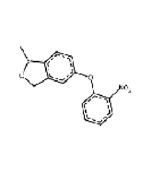 CB1OCc2cc(Oc3ccccc3[N+](=O)[O-])ccc21